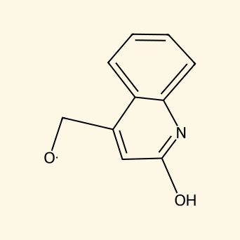 [O]Cc1cc(O)nc2ccccc12